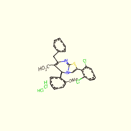 COc1ccccc1C1C(C(=O)O)=C(Cc2ccccc2)N=C2SC(c3c(Cl)cccc3Cl)=CN21.Cl.Cl